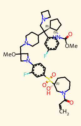 C=CC(=O)N1CCCC[C@](O)(S(=O)(=O)c2ccc(N3CC(CN4CCC(C(CN5CCC5)(c5cccc(F)c5)[C@H]5CCC[C@@H]5NC(=O)OC)CC4)(OC)C3)c(F)c2)C1